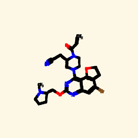 C=CC(=O)N1CCN(c2nc(OCC3CCCN3C)nc3cc(Br)c4c(c23)OCC4)CC1CC#N